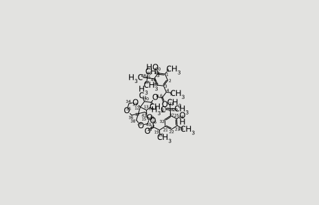 Cc1cc(C(C)C(=O)OCC(C)C2(C(C)COC(=O)C(C)c3cc(C)c(O)c(C(C)(C)C)c3)OCOCC23COCOC3)cc(C(C)(C)C)c1O